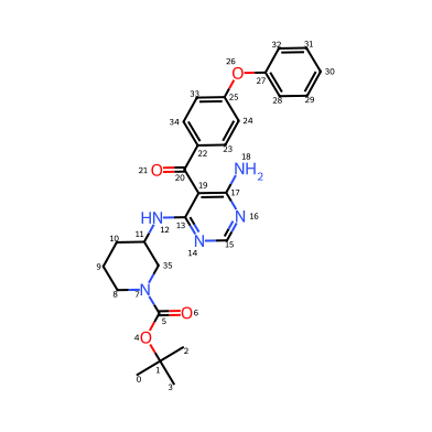 CC(C)(C)OC(=O)N1CCCC(Nc2ncnc(N)c2C(=O)c2ccc(Oc3ccccc3)cc2)C1